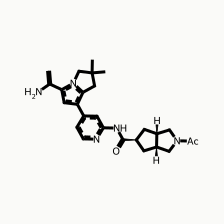 C=C(N)c1cc(-c2ccnc(NC(=O)[C@H]3C[C@@H]4CN(C(C)=O)C[C@@H]4C3)c2)c2n1CC(C)(C)C2